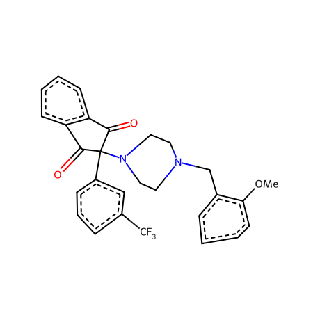 COc1ccccc1CN1CCN(C2(c3cccc(C(F)(F)F)c3)C(=O)c3ccccc3C2=O)CC1